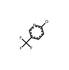 [O]c1ccc(C(F)(F)F)cn1